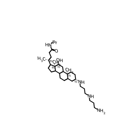 CC(C)NC(=O)CC[C@@H](C)C1CCC2C3CCC4C[C@@H](NCCCNCCCN)CC[C@]4(C)C3C[C@H](O)[C@@]21C